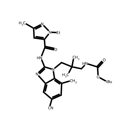 CCn1nc(C)cc1C(=O)Nc1nc2cc(C#N)cc(C)c2n1CC(C)(C)CNC(=O)OC(C)(C)C